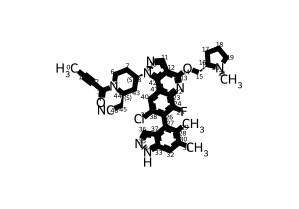 CC#CC(=O)N1CC[C@H](n2ncc3c(OC[C@@H]4CCCN4C)nc4c(F)c(-c5c(C)c(C)cc6[nH]ncc56)c(Cl)cc4c32)C[C@H]1CC#N